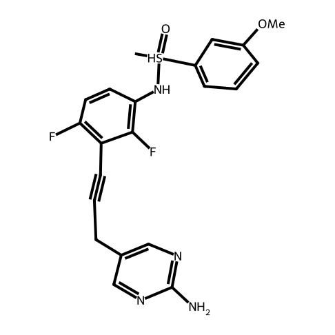 COc1cccc([SH](C)(=O)Nc2ccc(F)c(C#CCc3cnc(N)nc3)c2F)c1